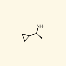 C[C@H]([NH])C1CC1